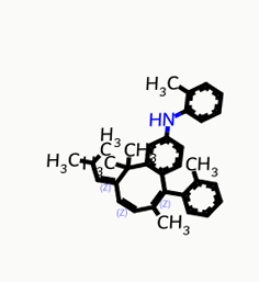 CC1=C(\c2ccccc2C)c2ccc(Nc3ccccc3C)cc2C(C)(C)C(=C\C(C)C)/C=C\1